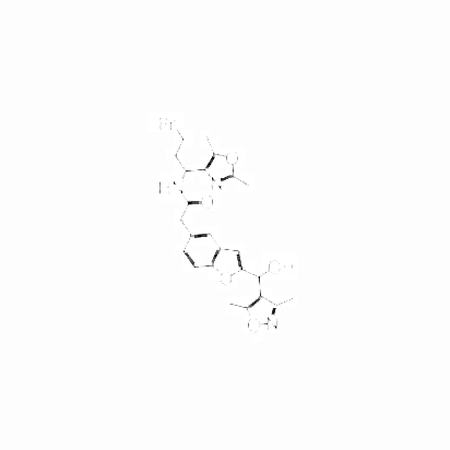 Cc1nc(C(CCC(C)C)NC(=O)Cc2ccc3oc(C(O)c4c(C)noc4C)cc3c2)c(C)o1